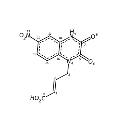 O=C(O)C=CCn1c(=O)c(=O)[nH]c2cc([N+](=O)[O-])ccc21